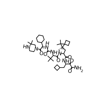 CC1(C)CN(C(=O)[C@@H](NC(=O)NC(C(=O)N2C[C@]3(CC2C(=O)NC(CC2CCC2)C(=O)C(N)=O)C(C)(C)C32CCC2)C(C)(C)C)C2CCCCC2)CCN1